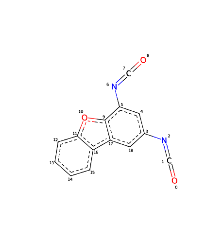 O=C=Nc1cc(N=C=O)c2oc3ccccc3c2c1